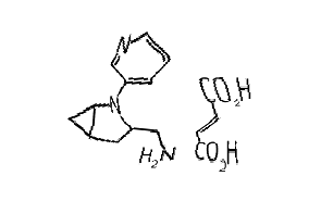 NCC1CC2CC2N1c1cccnc1.O=C(O)C=CC(=O)O